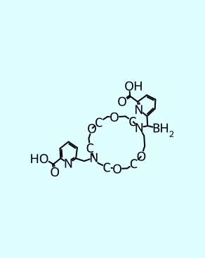 BC(c1cccc(C(=O)O)n1)N1CCOCCOCCN(Cc2cccc(C(=O)O)n2)CCOCCOCC1